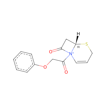 O=C(COc1ccccc1)[N+]12C=CCS[C@H]1CC2=O